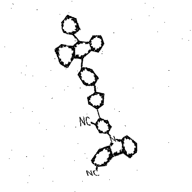 N#Cc1ccc2c(c1)c1ccccc1n2-c1ccc(-c2ccc(-c3ccc(-c4c5ccccc5c(-c5ccccc5)c5ccccc45)cc3)cc2)c(C#N)c1